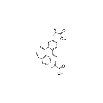 C=C(C)C(=O)O.C=C(C)C(=O)OC.C=Cc1ccccc1.C=Cc1ccccc1C=C